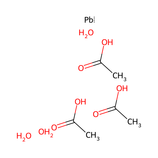 CC(=O)O.CC(=O)O.CC(=O)O.O.O.O.[Pb]